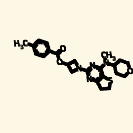 Cc1ccc(C(=O)OC2CN(c3nc4c(c(N(C)C5CCOCC5)n3)SCC4)C2)cc1